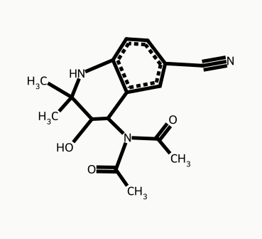 CC(=O)N(C(C)=O)C1c2cc(C#N)ccc2NC(C)(C)C1O